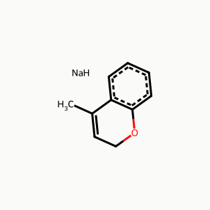 CC1=CCOc2ccccc21.[NaH]